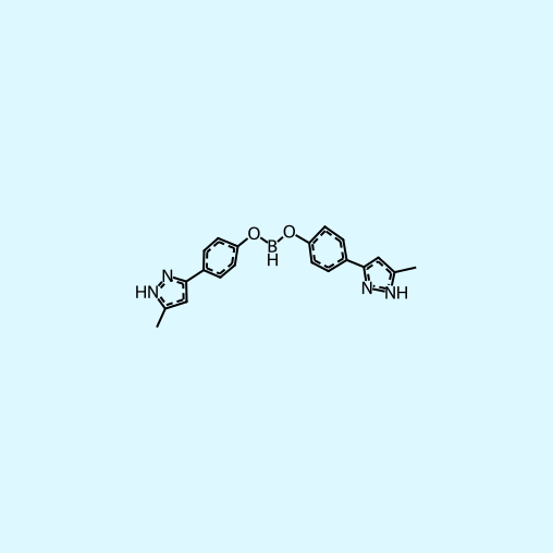 Cc1cc(-c2ccc(OBOc3ccc(-c4cc(C)[nH]n4)cc3)cc2)n[nH]1